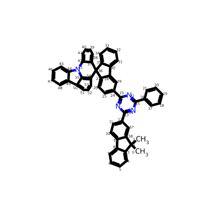 CC1(C)c2ccccc2-c2ccc(-c3nc(-c4ccccc4)nc(-c4ccc5c(c4)-c4ccccc4C54c5ccccc5-n5c6ccccc6c6cccc4c65)n3)cc21